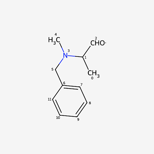 CC([C]=O)N(C)Cc1ccccc1